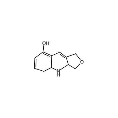 OC1=C2C=C3COCC3NC2CC=C1